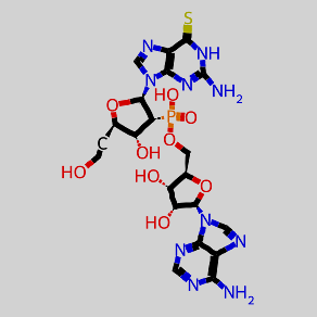 Nc1nc2c(ncn2[C@@H]2O[C@H](CCO)[C@@H](O)[C@H]2P(=O)(O)OC[C@H]2O[C@@H](n3cnc4c(N)ncnc43)[C@H](O)[C@@H]2O)c(=S)[nH]1